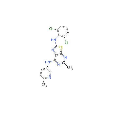 Cc1nc(Nc2ccc(C(F)(F)F)nc2)c2nc(Nc3c(Cl)cccc3Cl)sc2n1